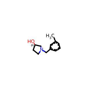 Cc1cccc(CN2CC[C@@H](O)C2)c1